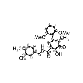 COc1cccc(OC)c1-c1nc(C(=O)NCc2ccc(C)c(Cl)c2)c(O)c(=O)n1C